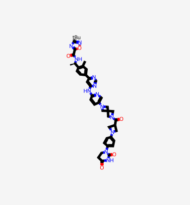 Cc1cc(-c2cc(Nc3ccc(N4CC5(CN(C(=O)C6CN(c7ccc(N8CCC(=O)NC8=O)cc7)C6)C5)C4)cn3)ncn2)ccc1[C@@H](C)NC(=O)c1nc(C(C)(C)C)no1